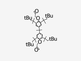 CC(C)(C)CC(C)(C)c1cc(C(C)(C)c2cc(C(C)(C)CC(C)(C)C)c(OCC3CO3)c(C(C)(C)CC(C)(C)C)c2)cc(C(C)(C)CC(C)(C)C)c1OCC1CO1